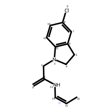 C=C(CN1CCc2cc(Cl)ccc21)N/C=C\C